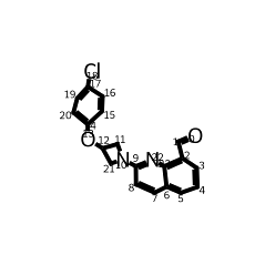 O=Cc1cccc2ccc(N3CC(Oc4ccc(Cl)cc4)C3)nc12